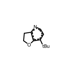 CC(C)(C)c1ccnc2c1OCC2